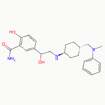 CN(C[C@H]1CC[C@H](NCC(O)c2ccc(O)c(C(N)=O)c2)CC1)c1ccccc1